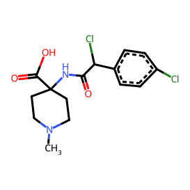 CN1CCC(NC(=O)C(Cl)c2ccc(Cl)cc2)(C(=O)O)CC1